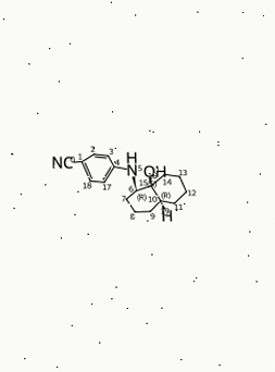 N#Cc1ccc(N[C@@H]2CCC[C@H]3CCCC[C@]32O)cc1